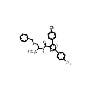 N#Cc1ccc(-c2oc(-c3ccc(C(F)(F)F)cc3)nc2C(=O)NC(CSCc2ccccc2)C(=O)O)cc1